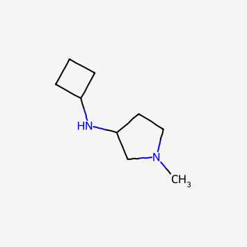 CN1CCC(NC2CCC2)C1